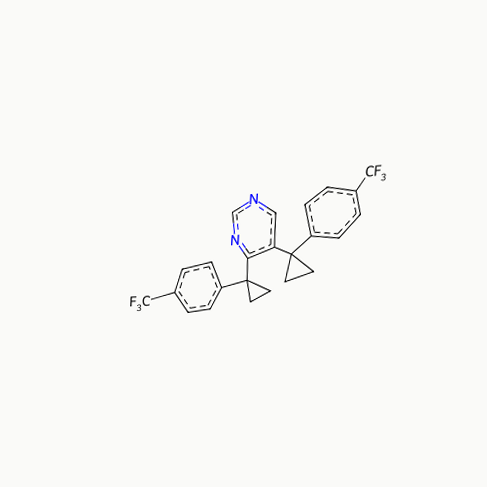 FC(F)(F)c1ccc(C2(c3cncnc3C3(c4ccc(C(F)(F)F)cc4)CC3)CC2)cc1